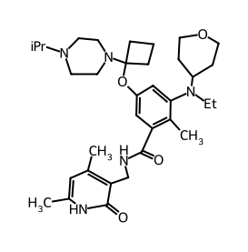 CCN(c1cc(OC2(N3CCN(C(C)C)CC3)CCC2)cc(C(=O)NCc2c(C)cc(C)[nH]c2=O)c1C)C1CCOCC1